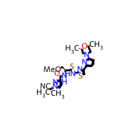 COC[C@H](NC(=O)c1ccn(C(C)(C)C#N)n1)C(=S)Nc1nc(-c2cccc(N3C[C@@H](C)O[C@@H](C)C3)n2)cs1